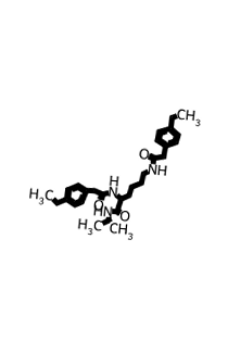 CCc1ccc(CC(=O)NCCCCC(NC(=O)Cc2ccc(CC)cc2)C(=O)NC(C)C)cc1